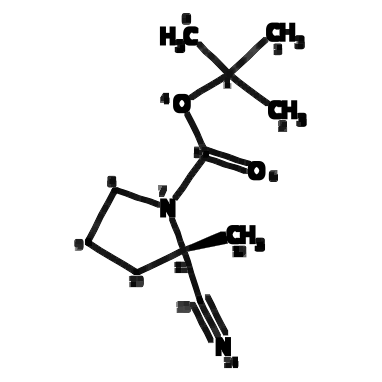 CC(C)(C)OC(=O)N1CCC[C@@]1(C)C#N